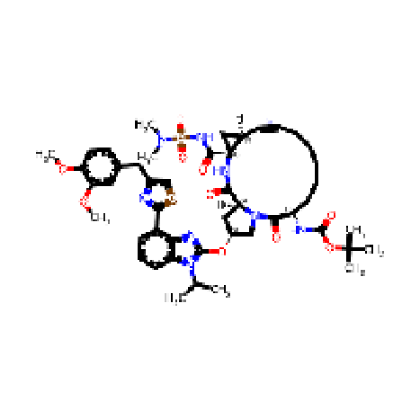 COc1ccc(Cc2csc(-c3cccc4c3nc(O[C@@H]3C[C@H]5C(=O)N[C@]6(C(=O)NS(=O)(=O)N(C)C)C[C@H]6/C=C\CCCCC[C@H](NC(=O)OC(C)(C)C)C(=O)N5C3)n4C(C)C)n2)cc1OC